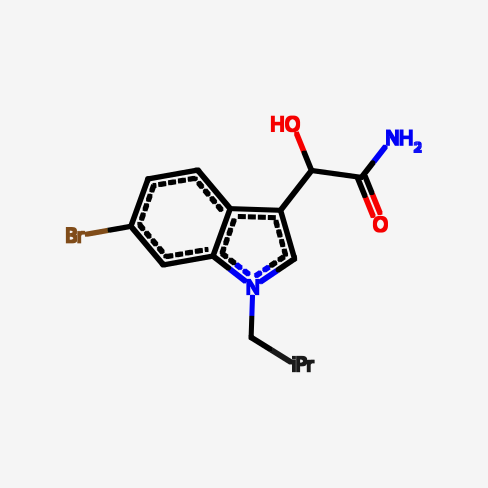 CC(C)Cn1cc(C(O)C(N)=O)c2ccc(Br)cc21